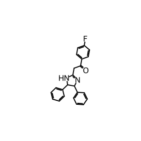 O=C(CC1=NC(c2ccccc2)C(c2ccccc2)N1)c1ccc(F)cc1